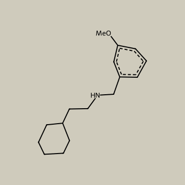 COc1cccc(CNCCC2CCCCC2)c1